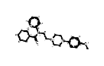 COc1ccc(N2CCN(CCN(C(=O)C3CCCCC3)c3ccccn3)CC2)cc1